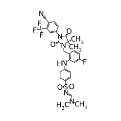 CN(C)/C=N/S(=O)(=O)c1ccc(Nc2cc(F)ccc2CN2C(=O)N(c3ccc(C#N)c(C(F)(F)F)c3)C(=O)C2(C)C)cc1